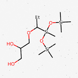 CCC(OCC(O)CO)[Si](C)(O[Si](C)(C)C)O[Si](C)(C)C